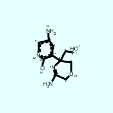 Cl.NC1=NC(CF)(c2cc(N)cnc2Cl)COC1